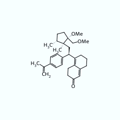 C=C(C)c1ccc([C@@H](C[C@@]2(C)[C@H](C)CC[C@]2(COC)OC)C2=C3CCC(=O)C=C3CCC2)cc1